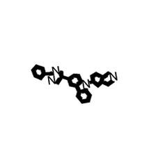 c1ccc(-c2ncc(-c3ccc4c(c3)c3ccccc3n4-c3ccc4cnccc4c3)cn2)cc1